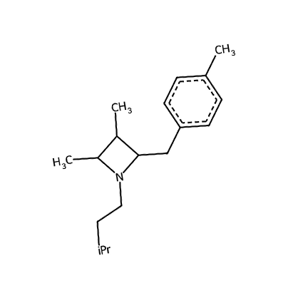 Cc1ccc(CC2C(C)C(C)N2CCC(C)C)cc1